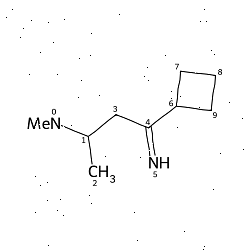 CNC(C)CC(=N)C1CCC1